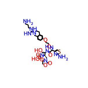 N=C(NCCCN)N1CCc2cc(OCCO/N=C(\C(=O)N[C@@H]3C(O)N(S(=O)(=O)O)[C@@H]3CN3CCOC3=O)c3csc(N)n3)ccc2C1